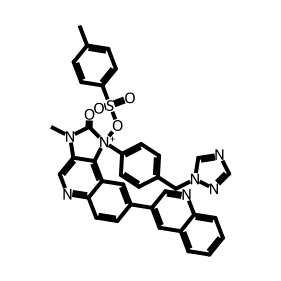 Cc1ccc(S(=O)(=O)O[N+]2(c3ccc(Cn4cncn4)cc3)C(=O)N(C)c3cnc4ccc(-c5cnc6ccccc6c5)cc4c32)cc1